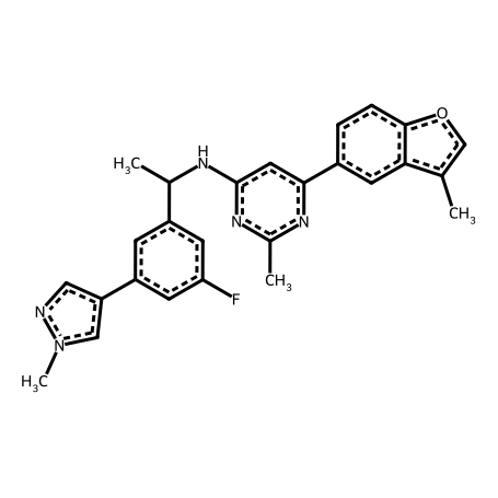 Cc1nc(NC(C)c2cc(F)cc(-c3cnn(C)c3)c2)cc(-c2ccc3occ(C)c3c2)n1